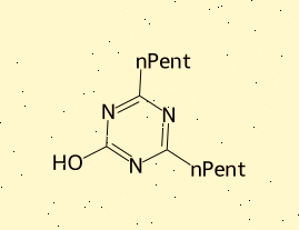 CCCCCc1nc(O)nc(CCCCC)n1